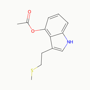 CSCCc1c[nH]c2cccc(OC(C)=O)c12